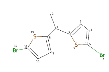 CC(c1ccc(Br)s1)c1ccc(Br)s1